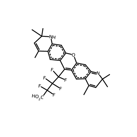 CC1=CC(C)(C)Nc2cc3c(cc21)C(C(F)(F)C(F)(F)C(F)(F)C(=O)O)=c1cc2c(cc1O3)=NC(C)(C)C=C2C